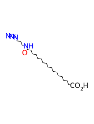 [N-]=[N+]=NCCCNC(=O)CCCCCCCCCCCCCCCCC(=O)O